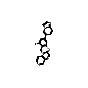 O=c1cnc2cnccc2n1Cc1c(F)cc(-c2ccc3nccn3c2)cc1F